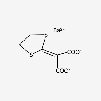 O=C([O-])C(C(=O)[O-])=C1SCCS1.[Ba+2]